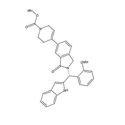 COc1ccccc1[C@H](c1cc2ccccc2[nH]1)N1Cc2ccc(C3=CCN(C(=O)OC(C)(C)C)CC3)cc2C1=O